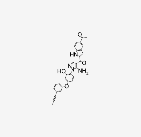 CC#Cc1cccc(Oc2ccc(-n3ncc(C(=O)c4cc5cc(C(C)=O)ccc5[nH]4)c3N)c(O)c2)c1